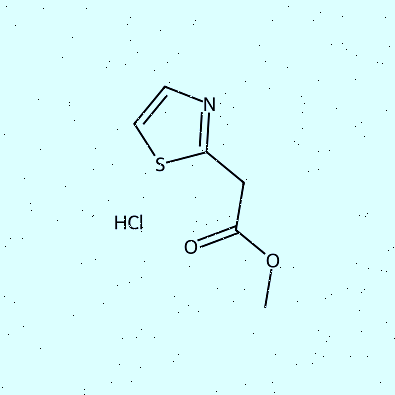 COC(=O)Cc1nccs1.Cl